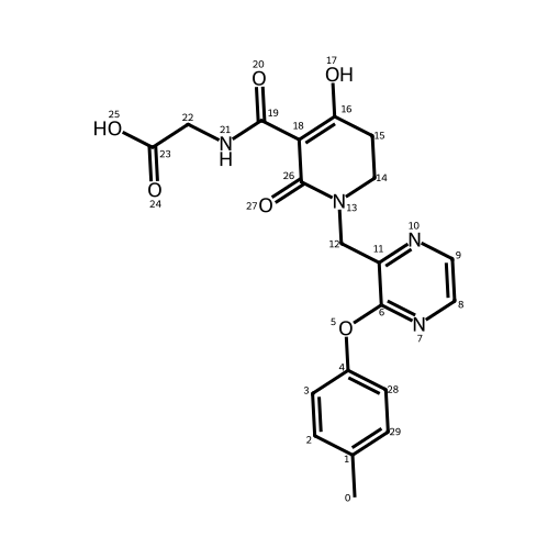 Cc1ccc(Oc2nccnc2CN2CCC(O)=C(C(=O)NCC(=O)O)C2=O)cc1